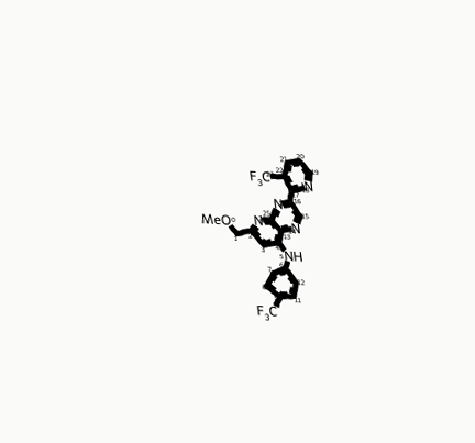 COCc1cc(Nc2ccc(C(F)(F)F)cc2)c2ncc(-c3ncccc3C(F)(F)F)nc2n1